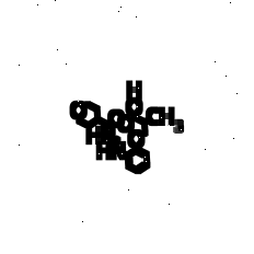 CC(COc1ccccc1NCNC(=O)C1CCOCC1)C(=O)O